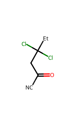 CCC(Cl)(Cl)CC(=O)C#N